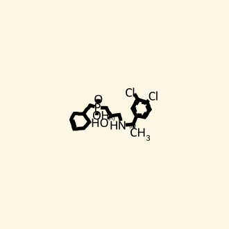 C[C@@H](NC[C@@H](O)CP(=O)(O)CC1CC=CCC1)c1ccc(Cl)c(Cl)c1